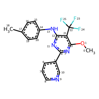 COc1nc(-c2cccnc2)nc(Nc2ccc(C)cc2)c1C(F)(F)F